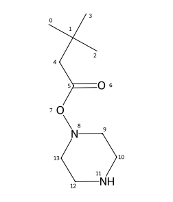 CC(C)(C)CC(=O)ON1CCNCC1